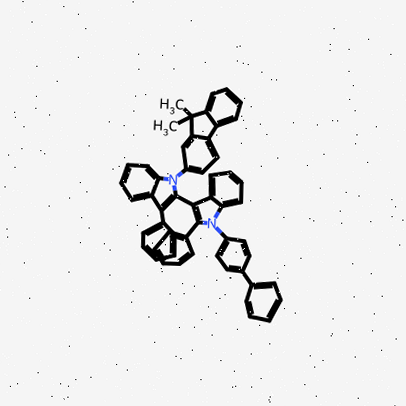 CC1(C)c2ccccc2-c2ccc(-n3c(-c4c(-c5ccccc5)n(-c5ccc(-c6ccccc6)cc5)c5ccccc45)c(-c4ccccc4)c4ccccc43)cc21